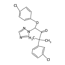 CC(C)(C(=O)C(Oc1ccc(Cl)cc1)n1cncn1)c1cccc(Cl)c1